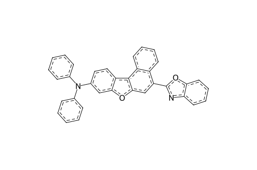 c1ccc(N(c2ccccc2)c2ccc3c(c2)oc2cc(-c4nc5ccccc5o4)c4ccccc4c23)cc1